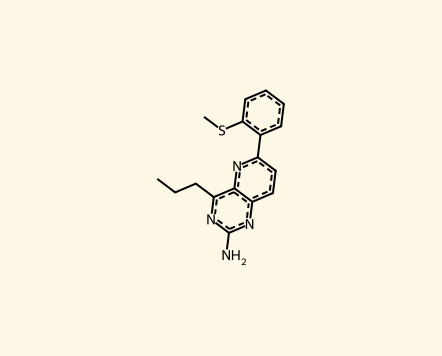 CCCc1nc(N)nc2ccc(-c3ccccc3SC)nc12